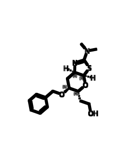 CN(C)C1=N[C@@H]2C[C@H](OCc3ccccc3)[C@@H](CCO)O[C@@H]2S1